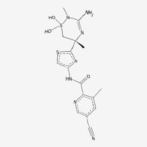 Cc1cc(C#N)cnc1C(=O)Nc1csc([C@]2(C)CS(O)(O)N(C)C(N)=N2)n1